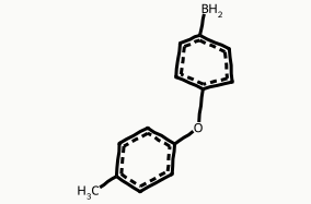 Bc1ccc(Oc2ccc(C)cc2)cc1